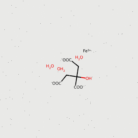 O.O.O.O=C([O-])CC(O)(CC(=O)[O-])C(=O)[O-].[Fe+3]